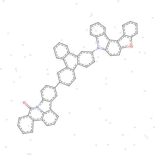 O=c1c2ccccc2c2cccc3c4cc(-c5ccc6c7ccc(-n8c9ccccc9c9c%10c(ccc98)oc8ccccc8%10)cc7c7ccccc7c6c5)ccc4n1c23